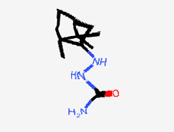 CC1(C)C2CCC1(C)C(NNC(N)=O)C2